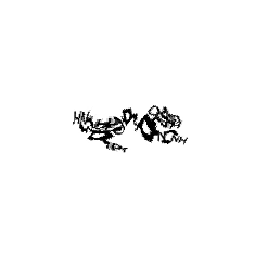 CC(C)c1ccc(N2CCNCC2)c(S(=O)(=O)NC2CCC(CSc3ccc(N4CCNCC4)c(NS(C)(=O)=O)c3)C2)c1